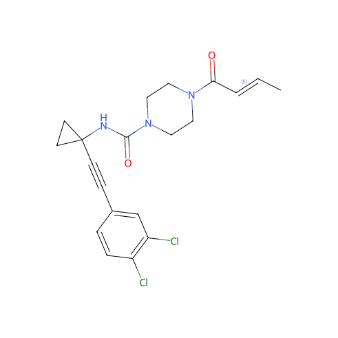 C/C=C/C(=O)N1CCN(C(=O)NC2(C#Cc3ccc(Cl)c(Cl)c3)CC2)CC1